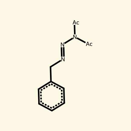 CC(=O)N(N=NCc1ccccc1)C(C)=O